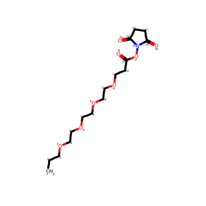 CCCOCCOCCOCCOCCC(=O)ON1C(=O)CCC1=O